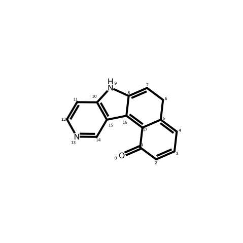 O=C1C=CC=C2CC=c3[nH]c4ccncc4c3=C12